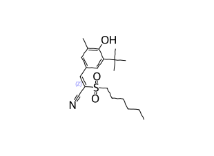 CCCCCCS(=O)(=O)/C(C#N)=C\c1cc(C)c(O)c(C(C)(C)C)c1